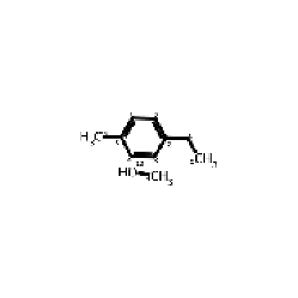 CCc1ccc(C)cc1.CO